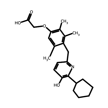 Cc1cc(OCC(=O)O)c(C)c(C)c1Cc1ccc(O)c(C2CCCCC2)n1